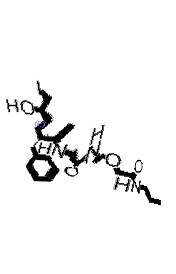 C=C(NCC(=O)NCOCC(=O)NCCC)[C@@H](/C=C/C(O)CI)Cc1ccccc1